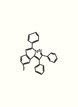 Fc1ccc2cc(-c3ccccc3)n3nc(-c4ccccc4)c(-c4ccccc4)c3c2c1